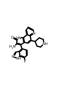 Nc1c(-c2ccc(F)c3[nH]ncc23)c2cc(C3CCNCC3)c3ncccc3c2[nH]c1=O